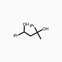 CC(C)C(O)CC(C)(O)C(C)C